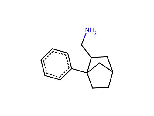 NCC1CC2CCC1(c1ccccc1)C2